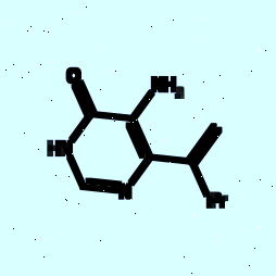 C=C(c1nc[nH]c(=O)c1N)C(C)C